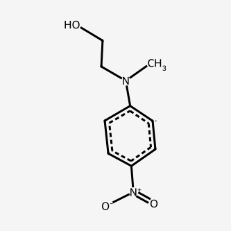 CN(CCO)c1[c]cc([N+](=O)[O-])cc1